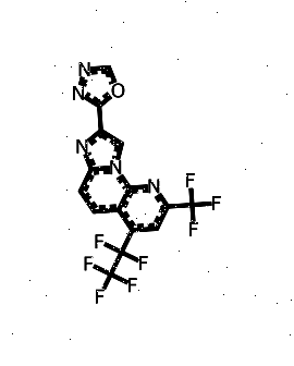 FC(F)(F)c1cc(C(F)(F)C(F)(F)F)c2ccc3nc(-c4nnco4)cn3c2n1